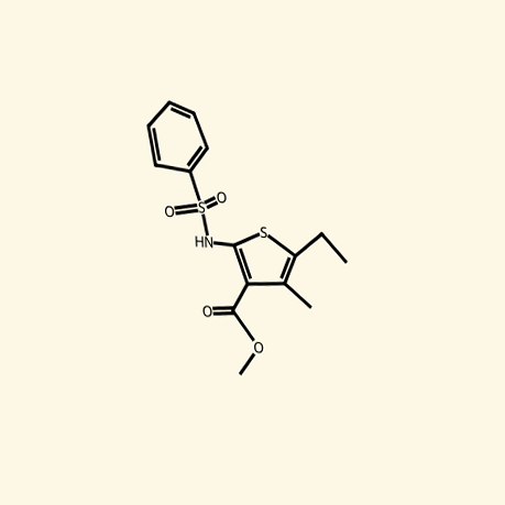 CCc1sc(NS(=O)(=O)c2ccccc2)c(C(=O)OC)c1C